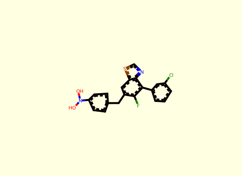 ON(O)c1ccc(Cc2cc3scnc3c(-c3cccc(Cl)c3)c2F)cc1